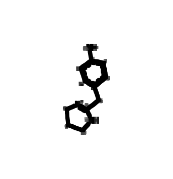 [NH]c1ccc(CC2=NCCCN2)cc1